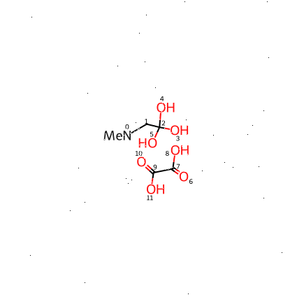 CNCC(O)(O)O.O=C(O)C(=O)O